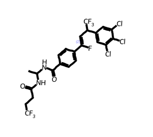 CC(NC(=O)CCC(F)(F)F)NC(=O)c1ccc(/C(F)=C/C(c2cc(Cl)c(Cl)c(Cl)c2)C(F)(F)F)cc1